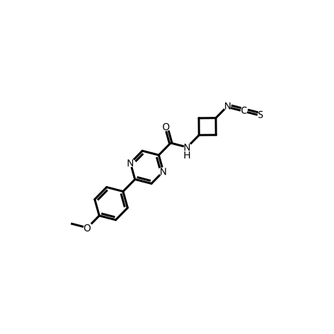 COc1ccc(-c2cnc(C(=O)NC3CC(N=C=S)C3)cn2)cc1